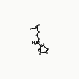 CN(C)CCC[SiH2]C1CCCCO1